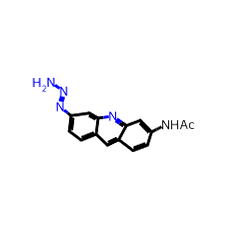 CC(=O)Nc1ccc2cc3ccc(N=NN)cc3nc2c1